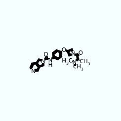 C[C@@H](C(=O)N1CC(Oc2ccc(NC(=O)N3Cc4ccncc4C3)cc2)C1)N(C)C